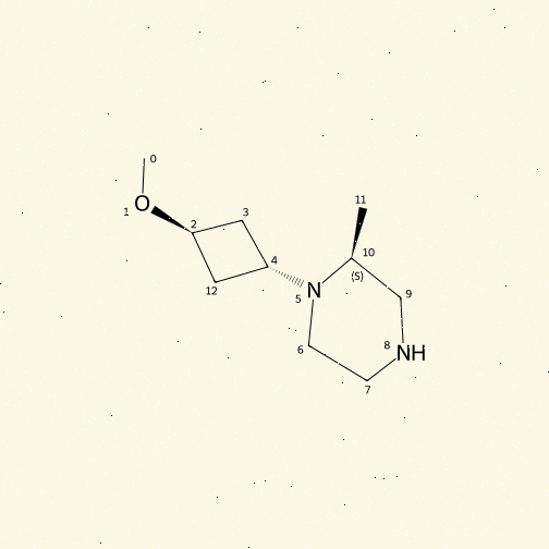 CO[C@H]1C[C@H](N2CCNC[C@@H]2C)C1